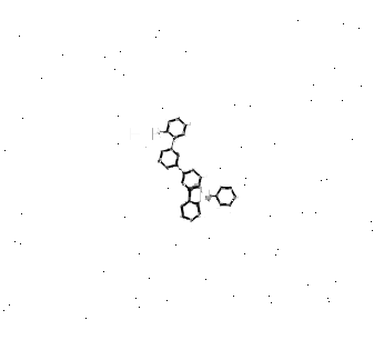 Bc1ccccc1-c1cccc(-c2ccc3c(c2)c2ccccc2n3-c2ccccc2)c1